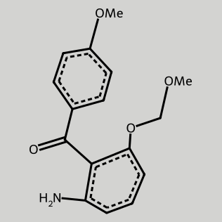 COCOc1cccc(N)c1C(=O)c1ccc(OC)cc1